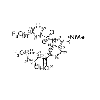 CNCc1cn(S(=O)(=O)c2cccc(OC(F)(F)F)c2)c2cc(Nc3ccc(C(F)(F)F)cc3Cl)ccc12.Cl